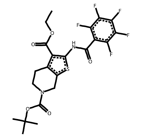 CCOC(=O)c1c(NC(=O)c2c(F)c(F)c(F)c(F)c2F)sc2c1CCN(C(=O)OC(C)(C)C)C2